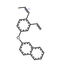 C=Cc1cc(Oc2ccc3ccccc3c2)ccc1/C=C\C